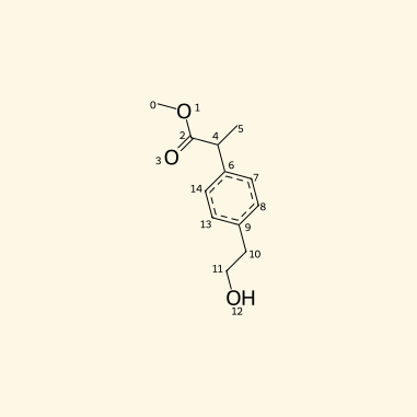 COC(=O)C(C)c1ccc(CCO)cc1